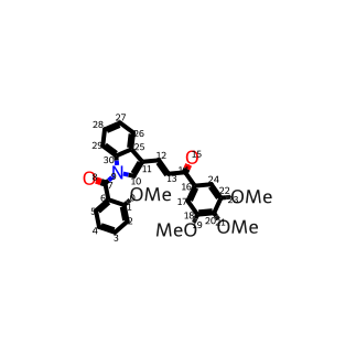 COc1ccccc1C(=O)n1cc(C=CC(=O)c2cc(OC)c(OC)c(OC)c2)c2ccccc21